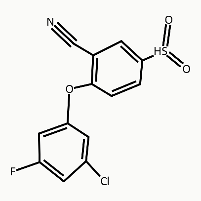 N#Cc1cc([SH](=O)=O)ccc1Oc1cc(F)cc(Cl)c1